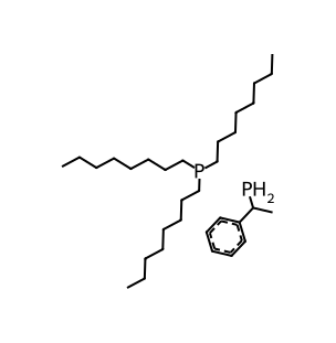 CC(P)c1ccccc1.CCCCCCCCP(CCCCCCCC)CCCCCCCC